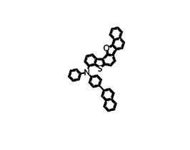 c1ccc(N(c2ccc(-c3ccc4ccccc4c3)cc2)c2cccc3c2sc2ccc4c5ccc6ccccc6c5oc4c23)cc1